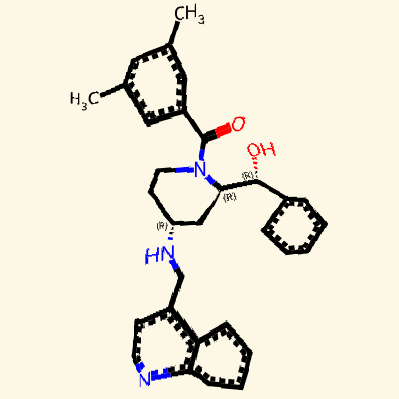 Cc1cc(C)cc(C(=O)N2CC[C@@H](NCc3ccnc4ccccc34)C[C@@H]2[C@H](O)c2ccccc2)c1